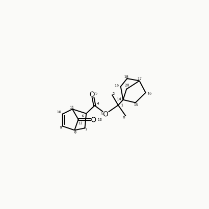 CC(C)(OC(=O)C1CC2C=CC1C2=O)C12CCC(CC1)C2